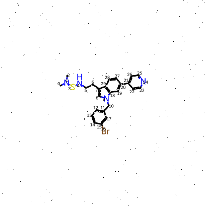 CN(C)SNCCc1cn(Cc2cccc(Br)c2)c2cc(-c3ccncc3)ccc12